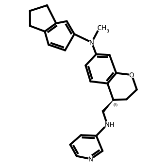 CN(c1ccc2c(c1)CCC2)c1ccc2c(c1)OCC[C@H]2CNc1cccnc1